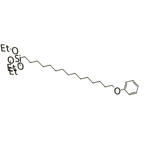 CCO[Si](CCCCCCCCCCCCCCCOc1ccccc1)(OCC)OCC